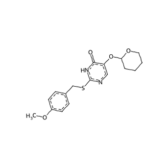 COc1ccc(CSc2ncc(OC3CCCCO3)c(=O)[nH]2)cc1